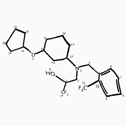 OC(CN(Cc1ccccc1C(F)(F)F)C1CCCC(OC2CCCC2)C1)C(F)(F)F